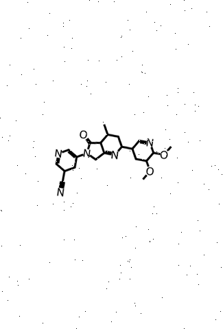 COC1CC(C2CC(C)C3C(=O)N(C4=CN=CC(C#N)C4)CC3=N2)C=NC1OC